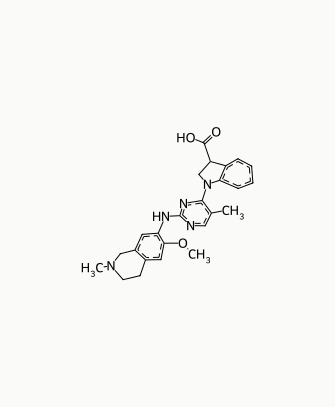 COc1cc2c(cc1Nc1ncc(C)c(N3CC(C(=O)O)c4ccccc43)n1)CN(C)CC2